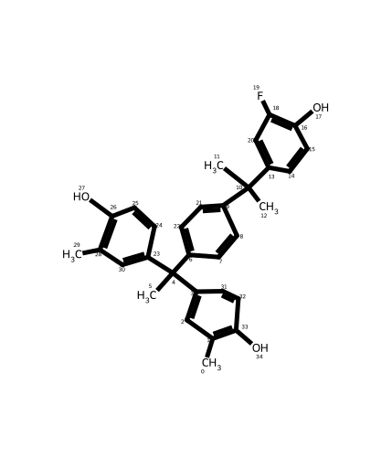 Cc1cc(C(C)(c2ccc(C(C)(C)c3ccc(O)c(F)c3)cc2)c2ccc(O)c(C)c2)ccc1O